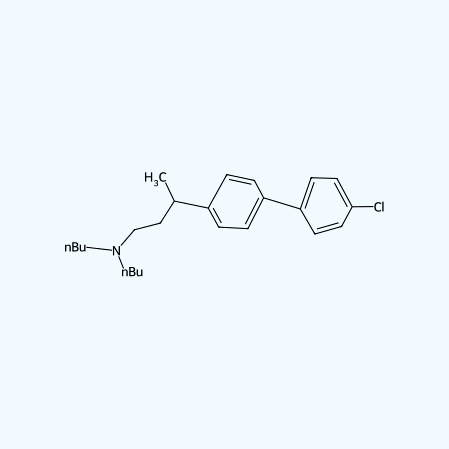 CCCCN(CCCC)CCC(C)c1ccc(-c2ccc(Cl)cc2)cc1